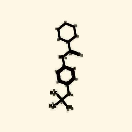 CC(C)(C)Oc1ccc(NC(=O)C2CCCCC2)cc1